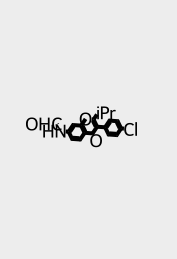 CC(C)c1oc2cc(NC=O)ccc2c(=O)c1-c1ccc(Cl)cc1